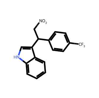 O=[N+]([O-])CC(c1ccc(C(F)(F)F)cc1)c1c[nH]c2ccccc12